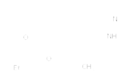 CCC(=O)Oc1ccc2cn[nH]c2c1C